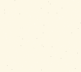 CCc1ccc2nc(C(O)c3ccc(OC)c(OC)c3)sc2c1